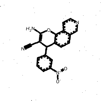 N#CC1=C(N)Oc2c(ccc3cnccc23)C1c1cccc([N+](=O)[O-])c1